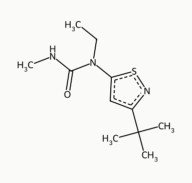 CCN(C(=O)NC)c1cc(C(C)(C)C)ns1